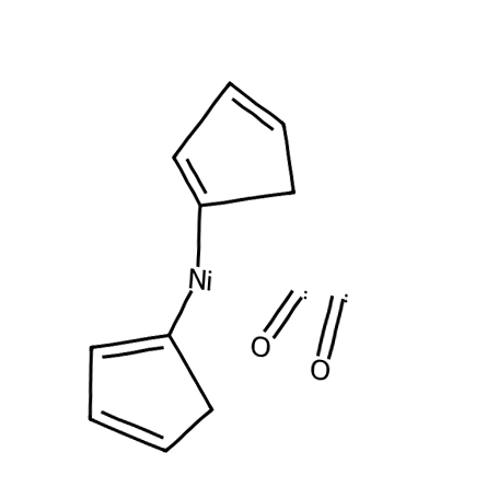 C1=CC[C]([Ni][C]2=CC=CC2)=C1.[C]=O.[C]=O